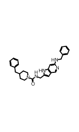 O=C(NCc1cc2cnc(NCc3ccccc3)cc2[nH]1)N1CCC(Cc2ccccc2)CC1